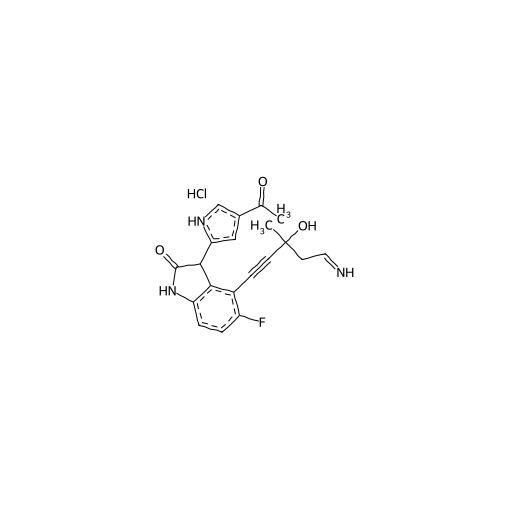 CC(=O)c1c[nH]c(C2C(=O)Nc3ccc(F)c(C#CC(C)(O)CC=N)c32)c1.Cl